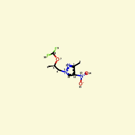 Cc1nn(C[C@@H](C)OC(F)F)cc1[N+](=O)[O-]